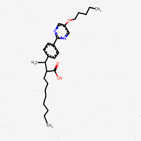 CCCCCCCCC(C(=O)O)C(C)c1ccc(-c2ncc(OCCCCC)cn2)cc1